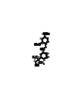 COc1ccc(CNc2cc(C(C)(C)CO)cnn2)c(OC)c1